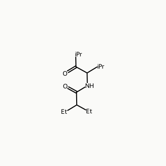 CCC(CC)C(=O)NC(C(=O)C(C)C)C(C)C